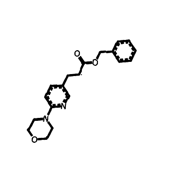 O=C([CH]Cc1ccc(N2CCOCC2)nc1)OCc1ccccc1